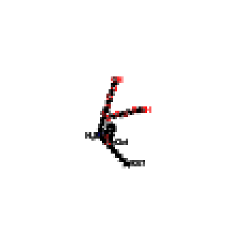 CCCCCCCC/C=C\CCCCCCCCOCC(C[N+](C)(C)CCCCCC(OCCOCCOCCOCCO)OCCOCCOCCOCCO)OCCCCCCCC/C=C\CCCCCCCC